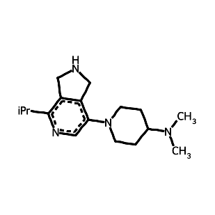 CC(C)c1ncc(N2CCC(N(C)C)CC2)c2c1CNC2